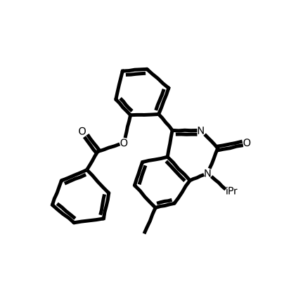 Cc1ccc2c(-c3ccccc3OC(=O)c3ccccc3)nc(=O)n(C(C)C)c2c1